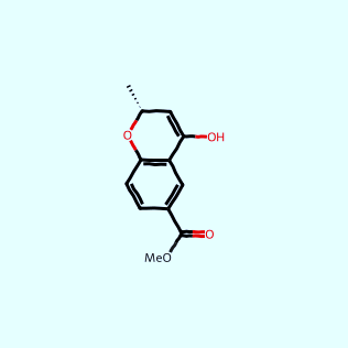 COC(=O)c1ccc2c(c1)C(O)=C[C@@H](C)O2